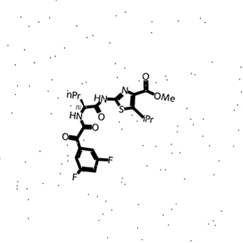 CCC[C@H](NC(=O)C(=O)c1cc(F)cc(F)c1)C(=O)Nc1nc(C(=O)OC)c(C(C)C)s1